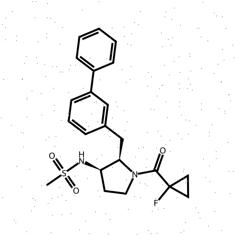 CS(=O)(=O)N[C@@H]1CCN(C(=O)C2(F)CC2)[C@@H]1Cc1cccc(-c2ccccc2)c1